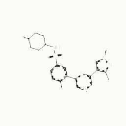 Cc1ccc(S(=O)(=O)NC2CCC(O)CC2)cc1-c1cncc(-c2cn(C)nc2C)n1